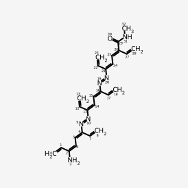 C=C/C(N)=C\C=C(/C=C)N=N/C(C=C)=C/C=C(\C=C)N=N/C(C=C)=C/C=C(\C=C)C(=O)NC